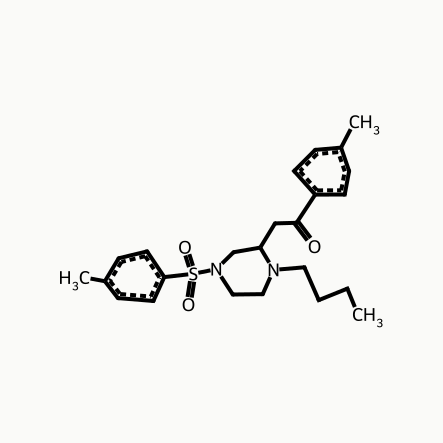 CCCCN1CCN(S(=O)(=O)c2ccc(C)cc2)CC1CC(=O)c1ccc(C)cc1